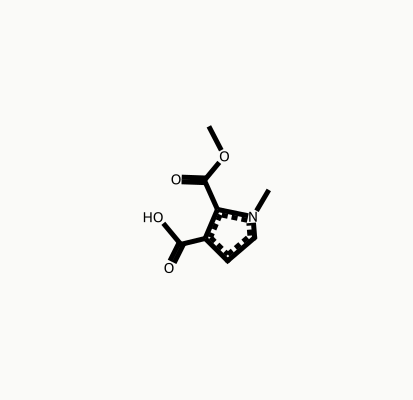 COC(=O)c1c(C(=O)O)ccn1C